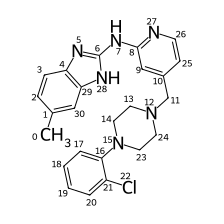 Cc1ccc2nc(Nc3cc(CN4CCN(c5ccccc5Cl)CC4)ccn3)[nH]c2c1